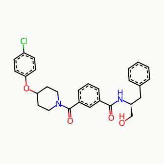 O=C(N[C@H](CO)Cc1ccccc1)c1cccc(C(=O)N2CCC(Oc3ccc(Cl)cc3)CC2)c1